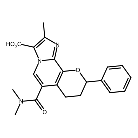 Cc1nc2c3c(c(C(=O)N(C)C)cn2c1C(=O)O)CCC(c1ccccc1)O3